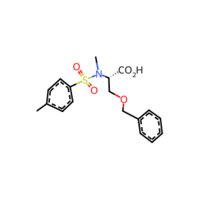 Cc1ccc(S(=O)(=O)N(C)[C@@H](COCc2ccccc2)C(=O)O)cc1